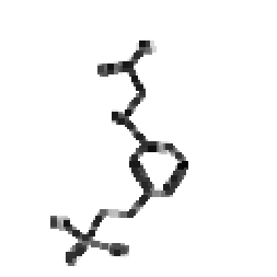 O=C(O)CNc1cccc(CCP(=O)(O)O)c1